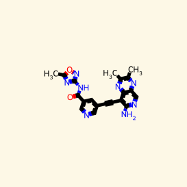 Cc1nc(NC(=O)c2cncc(C#Cc3c(N)ncc4nc(C)c(C)nc34)c2)no1